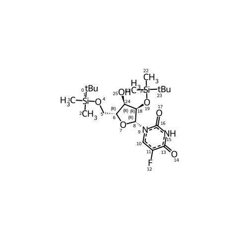 CC(C)(C)[Si](C)(C)OC[C@H]1O[C@@H](n2cc(F)c(=O)[nH]c2=O)[C@H](O[Si](C)(C)C(C)(C)C)[C@@H]1O